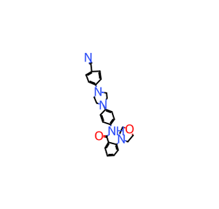 N#Cc1ccc(N2CCN(c3ccc(NC(=O)c4ccccc4N4CCOCC4)cc3)CC2)cc1